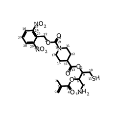 C=C(C)C(=O)OC(CN)C(CS)OC(=O)C1CCN(C(=O)OCc2c([N+](=O)[O-])cccc2[N+](=O)[O-])CC1